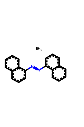 B.c1ccc2c(N=Nc3cccc4ccccc34)cccc2c1